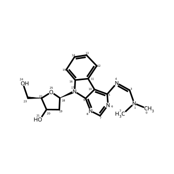 CN(C)/C=N\c1ncnc2c1c1ccccc1n2[C@H]1CC(O)[C@@H](CO)O1